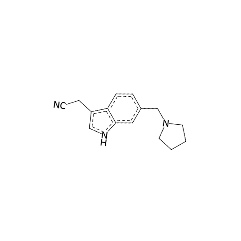 N#CCc1c[nH]c2cc(CN3CCCC3)ccc12